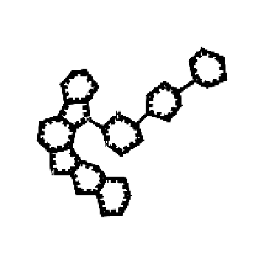 c1ccc(-c2ccc(-c3ccnc(-n4c5ccccc5c5ccc6sc7cc8ccccc8cc7c6c54)n3)cc2)cc1